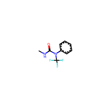 CNC(=O)N(c1ccccc1)C(F)(F)F